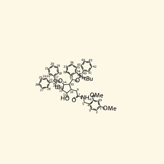 COc1ccc(CNC(=O)CC2C(O)CC(O[Si](c3ccccc3)(c3ccccc3)C(C)(C)C)C2CO[Si](c2ccccc2)(c2ccccc2)C(C)(C)C)c(OC)c1